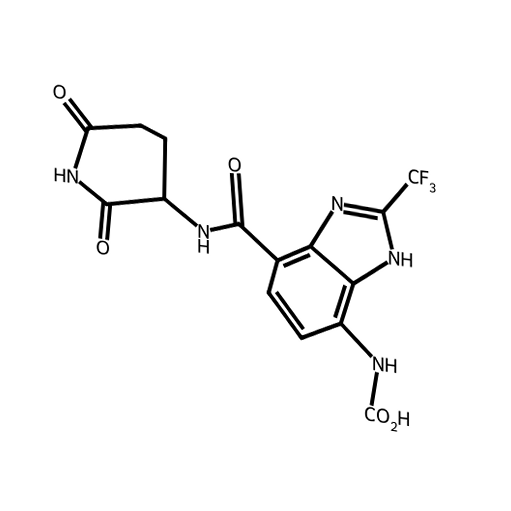 O=C(O)Nc1ccc(C(=O)NC2CCC(=O)NC2=O)c2nc(C(F)(F)F)[nH]c12